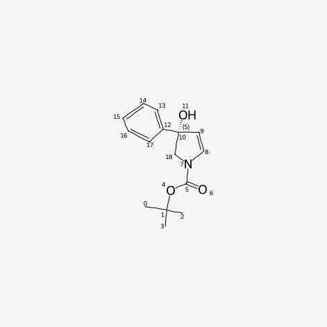 CC(C)(C)OC(=O)N1C=C[C@](O)(c2ccccc2)C1